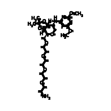 COc1cc(N[C@@H]2CO[C@H](COCCOCCOCCOCCN)[C@@H]3OC(C)(C)O[C@@H]32)nc(OC)n1